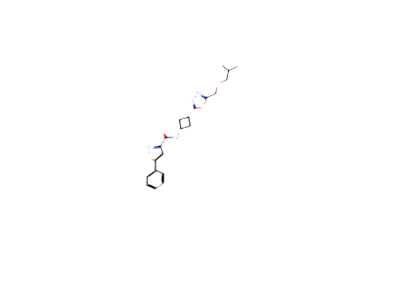 CC(C)CO[C@H](C)c1nnc([C@H]2C[C@H](NC(=O)c3cc(-c4ccccc4)on3)C2)o1